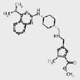 COC(=O)c1cc(CNC[C@H]2CC[C@@H](Nc3nc(N(C)C)c4ccccc4n3)CC2)cn1C